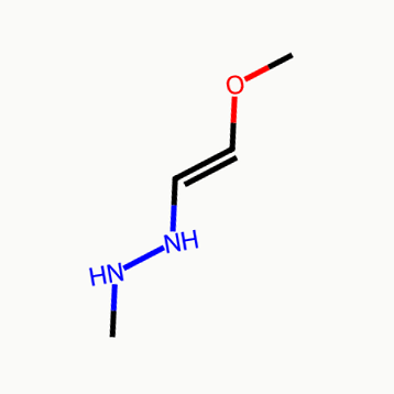 CNN/C=C/OC